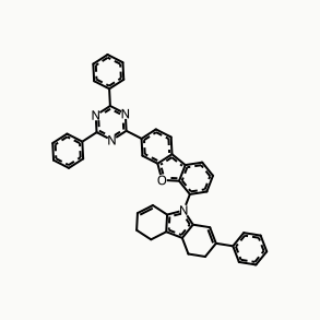 C1=Cc2c(c3c(n2-c2cccc4c2oc2cc(-c5nc(-c6ccccc6)nc(-c6ccccc6)n5)ccc24)C=C(c2ccccc2)CC3)CC1